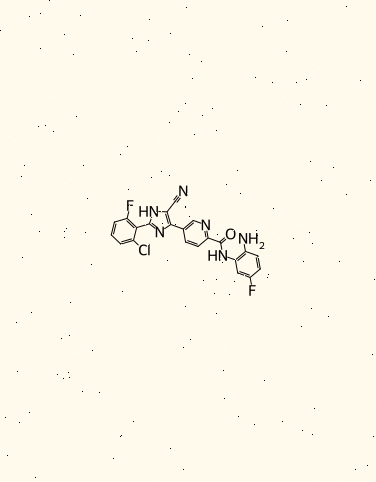 N#Cc1[nH]c(-c2c(F)cccc2Cl)nc1-c1ccc(C(=O)Nc2cc(F)ccc2N)nc1